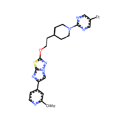 CCc1cnc(N2CCC(CCOc3nn4cc(-c5ccnc(OC)c5)nc4s3)CC2)nc1